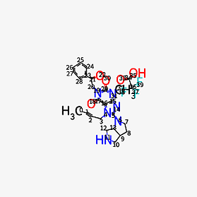 CC#CCn1c(N2CCC3CNCC32)nc2c1c(=O)n(CC(=O)c1ccccc1)c(=O)n2C.O=C(O)C(F)(F)F